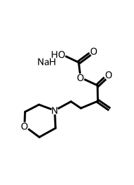 C=C(CCN1CCOCC1)C(=O)OC(=O)O.[NaH]